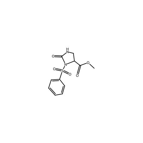 COC(=O)C1CNC(=O)N1S(=O)(=O)c1ccccc1